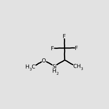 CO[SiH2]C(C)C(F)(F)F